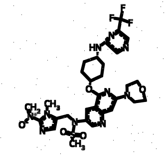 C=[N+]([O-])c1ncc(CN(c2cnc3cc(N4CCOCC4)nc(O[C@H]4CC[C@@H](Nc5cncc(C(F)(F)F)n5)CC4)c3c2)S(C)(=O)=O)n1C